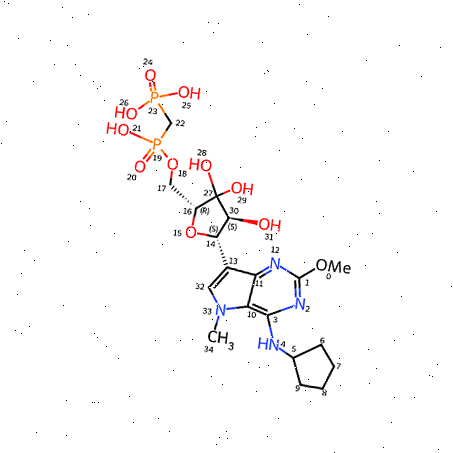 COc1nc(NC2CCCC2)c2c(n1)c([C@@H]1O[C@H](COP(=O)(O)CP(=O)(O)O)C(O)(O)[C@H]1O)cn2C